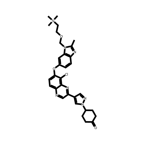 Cc1nc2ccc(Oc3ccc4ncc(-c5cnn(C6CCC(=O)CC6)c5)nc4c3Cl)cc2n1COCC[Si](C)(C)C